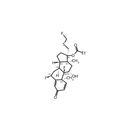 CCC(=O)O[C@]1(CSCF)CC[C@H]2[C@@H]3C[C@H](F)C4=CC(=O)C=C[C@]4(C)[C@@]3(F)[C@@H](O)C[C@@]21C